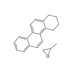 CC1CO1.c1ccc2c(c1)ccc1c3c(ccc12)CCCC3